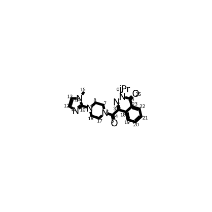 CC(C)n1nc(C(=O)N2CCN(c3nccn3C)CC2)c2ccccc2c1=O